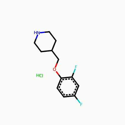 Cl.Fc1ccc(OCC2CCNCC2)c(F)c1